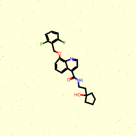 O=C(NCCC1(O)CCCC1)c1ccnc2c(OCc3c(F)cccc3F)cccc12